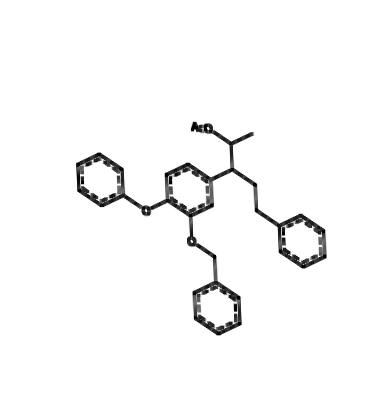 CC(=O)OC(C)C(CCc1ccccc1)c1ccc(Oc2ccccc2)c(OCc2ccccc2)c1